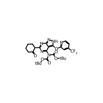 CC(C)(C)OC(=O)N(C(=O)OC(C)(C)C)c1nc(C2CCCCC2=O)nc2n[nH]c(Oc3cc(C(F)(F)F)ccn3)c12